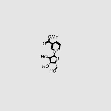 COC(=O)c1ccc[n+]([C@@H]2O[C@H](CO)[C@H](O)C2O)c1